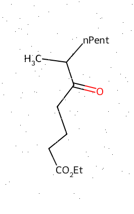 CCCCCC(C)C(=O)CCCC(=O)OCC